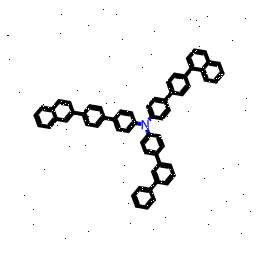 c1ccc(-c2cccc(-c3ccc(N(c4ccc(-c5ccc(-c6ccc7ccccc7c6)cc5)cc4)c4ccc(-c5ccc(-c6cccc7ccccc67)cc5)cc4)cc3)c2)cc1